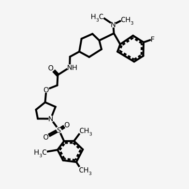 Cc1cc(C)c(S(=O)(=O)N2CCC(OCC(=O)NCC3CCC(C(c4cccc(F)c4)N(C)C)CC3)C2)c(C)c1